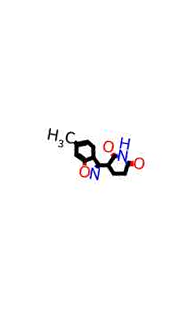 CC1=CCC2C(=C1)ON=C2C1CCC(=O)NC1=O